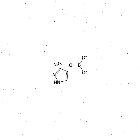 [Ni+3].[O-]B([O-])[O-].c1cn[nH]c1